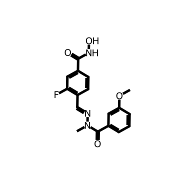 COc1cccc(C(=O)N(C)N=Cc2ccc(C(=O)NO)cc2F)c1